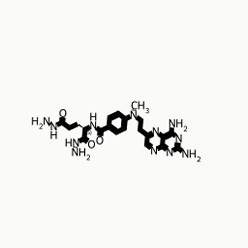 CN(CCc1cnc2nc(N)nc(N)c2n1)c1ccc(C(=O)N[C@@H](CCC(=O)NN)C(=O)NN)cc1